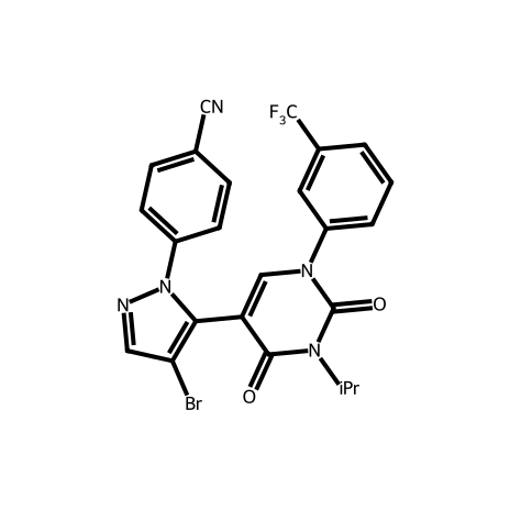 CC(C)n1c(=O)c(-c2c(Br)cnn2-c2ccc(C#N)cc2)cn(-c2cccc(C(F)(F)F)c2)c1=O